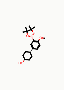 COc1ccc([C@H]2CC[C@H](O)CC2)cc1B1OC(C)(C)C(C)(C)O1